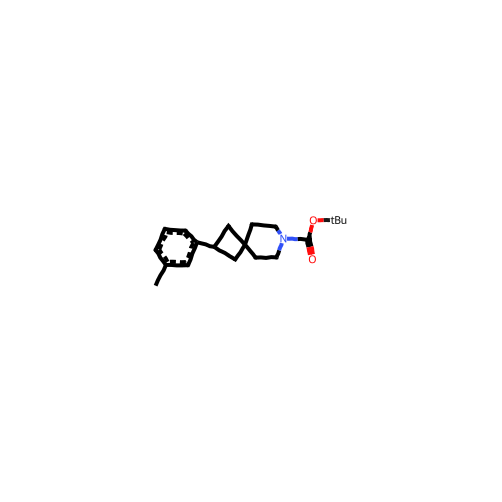 Cc1cccc(C2CC3(CCN(C(=O)OC(C)(C)C)CC3)C2)c1